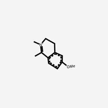 COc1ccc2c(c1)CC[N+](C)=C2C